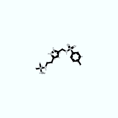 Cc1ccc(S(=O)(=O)OCc2cc(CCO[Si](C)(C)C(C)(C)C)on2)cc1